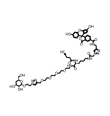 C#CCCC(=O)N[C@@H](CCCCNC(=O)Cn1cc(CNC(=O)c2ccc3c(c2)C(=O)OC32c3ccc(O)cc3Oc3cc(O)ccc32)nn1)C(=O)NCCOCCOCCOCCOCc1cn(CCO[C@@H]2O[C@H](CO)C[C@H](O)[C@H]2O)nn1